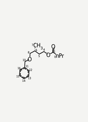 CCCC(=O)OCC[C@@H](C)COCc1ccccc1